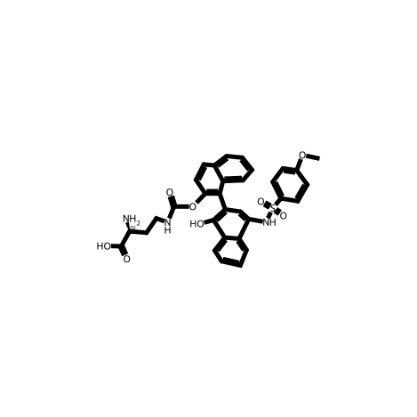 COc1ccc(S(=O)(=O)Nc2cc(-c3c(OC(=O)NCC[C@H](N)C(=O)O)ccc4ccccc34)c(O)c3ccccc23)cc1